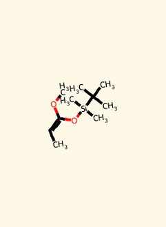 CC=C(OC)O[Si](C)(C)C(C)(C)C